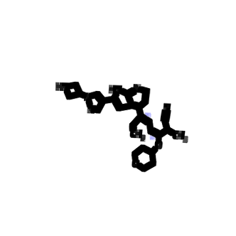 C=C/C(=C\C=C(\OC1CCOCC1)C(C)C#N)c1ccnc2[nH]c(-c3cnn(C4CNC4)c3)cc12